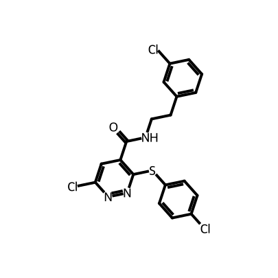 O=C(NCCc1cccc(Cl)c1)c1cc(Cl)nnc1Sc1ccc(Cl)cc1